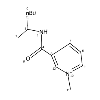 CCCC[C@@H](C)NC(=O)c1ccc[n+](C)c1